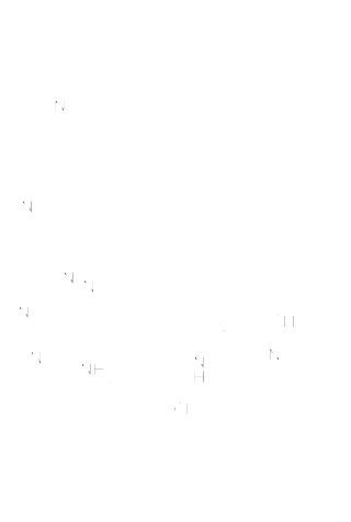 COc1cc(-c2nn(C3CCN(Cc4ccncc4)CC3)c3ncnc(N)c23)ccc1NC(=O)c1cc2ccccc2n1C